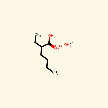 CCCCC(CC)C(=O)O.O.O.[Zr]